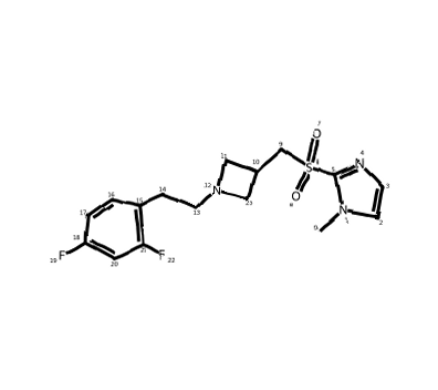 Cn1ccnc1S(=O)(=O)CC1CN(CCc2ccc(F)cc2F)C1